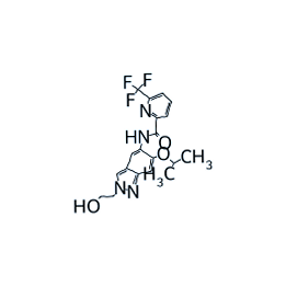 CC(C)Oc1cc2nn(CCO)cc2cc1NC(=O)c1cccc(C(F)(F)F)n1